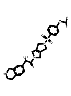 O=C([C@H](O)c1ccc2c(c1)CNCC2)N1CC2=C(C1)CN(S(=O)(=O)c1ccc(OC(F)F)cc1)C2